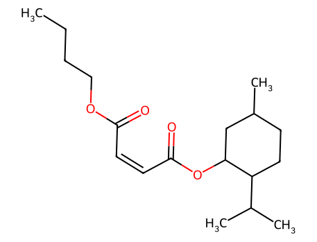 CCCCOC(=O)/C=C\C(=O)OC1CC(C)CCC1C(C)C